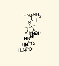 Cl.N=C(N)NN=C1C=CC(=NNC(=O)NC(N)=O)C=C1.O